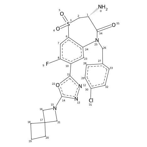 N[C@H]1CS(=O)(=O)c2cc(F)c(-c3nnc(N4CC5(CCC5)C4)o3)cc2N(Cc2ccc(Cl)cc2)C1=O